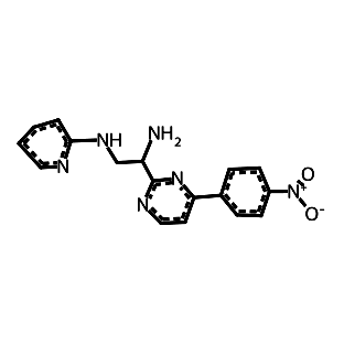 NC(CNc1ccccn1)c1nccc(-c2ccc([N+](=O)[O-])cc2)n1